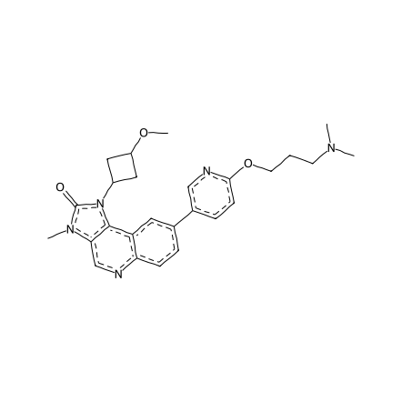 COC1CC(n2c(=O)n(C)c3cnc4ccc(-c5ccc(OCCCN(C)C)nc5)cc4c32)C1